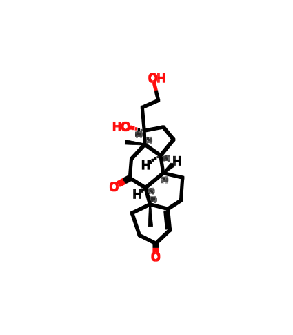 C[C@]12CCC(=O)C=C1CC[C@@H]1[C@@H]2C(=O)C[C@@]2(C)[C@H]1CC[C@]2(O)CCO